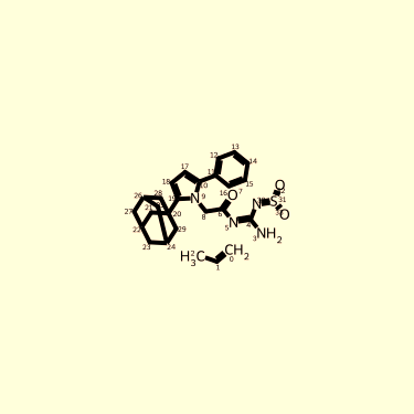 C=CC.NC(=NC(=O)Cn1c(-c2ccccc2)ccc1C12CC3CC(CC(C3)C1)C2)N=S(=O)=O